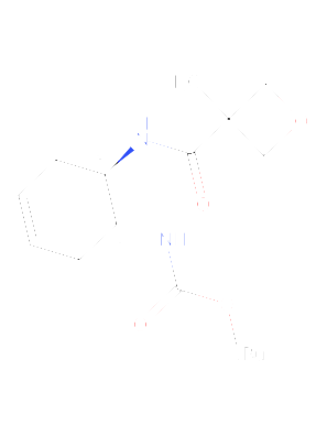 CC(C)(C)OC(=O)N[C@@H]1CC=CC[C@H]1NC(=O)C1(C)COC1